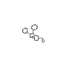 O=Cc1ccn2cc(-c3ccccc3)c(-c3ccccc3)c2c1